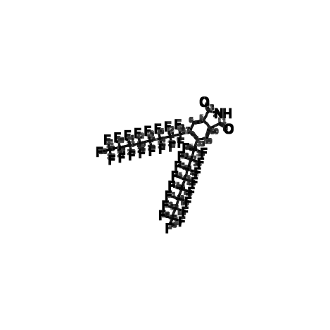 O=C1NC(=O)c2cc(C(F)(F)C(F)(F)C(F)(F)C(F)(F)C(F)(F)C(F)(F)C(F)(F)C(F)(F)F)c(C(F)(F)C(F)(F)C(F)(F)C(F)(F)C(F)(F)C(F)(F)C(F)(F)C(F)(F)F)cc21